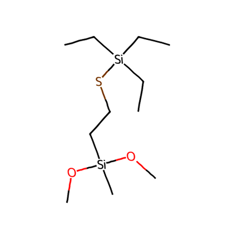 CC[Si](CC)(CC)SCC[Si](C)(OC)OC